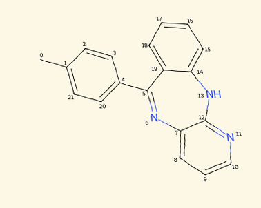 Cc1ccc(C2=Nc3cccnc3Nc3ccccc32)cc1